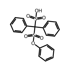 O=S(=O)(O)C(c1ccccc1)(c1ccccc1)S(=O)(=O)Oc1ccccc1